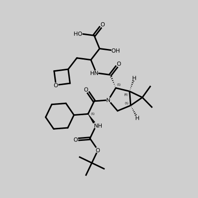 CC(C)(C)OC(=O)N[C@H](C(=O)N1C[C@H]2[C@@H]([C@H]1C(=O)NC(CC1COC1)C(O)C(=O)O)C2(C)C)C1CCCCC1